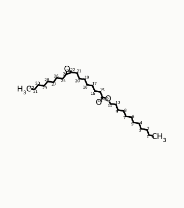 CCCCCCCCCCCCOC(=O)CCCCCCCC1OC1CCCCCCCC